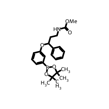 COC(=O)NCCC(Oc1cccc(B2OC(C)(C)C(C)(C)O2)c1)c1ccccc1